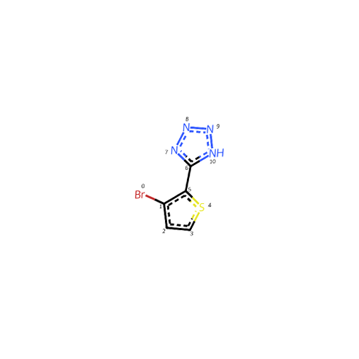 Brc1ccsc1-c1nnn[nH]1